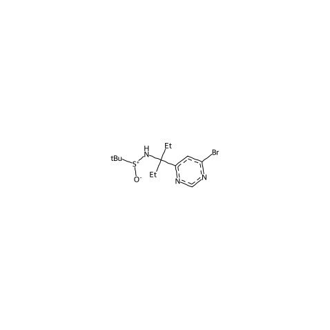 CCC(CC)(N[S+]([O-])C(C)(C)C)c1cc(Br)ncn1